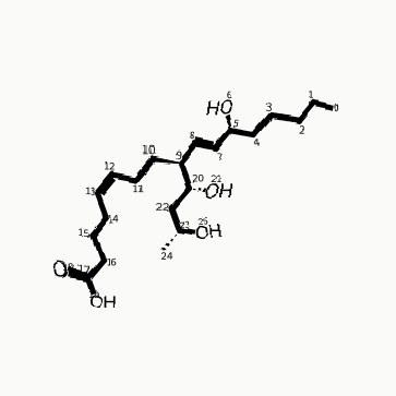 CCCCC[C@H](O)/C=C/[C@H](CC/C=C\CCCC(=O)O)[C@H](O)C[C@@H](C)O